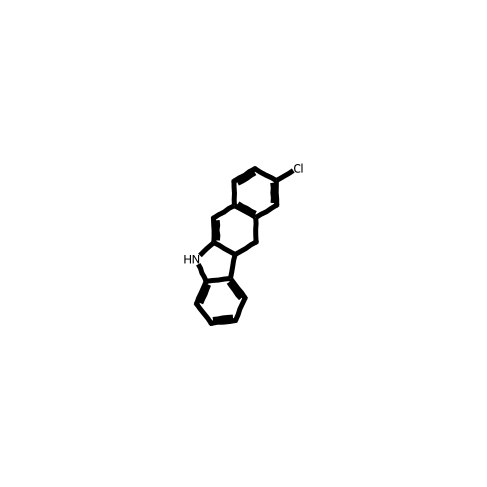 Clc1ccc2c(c1)CC1C(=C2)Nc2ccccc21